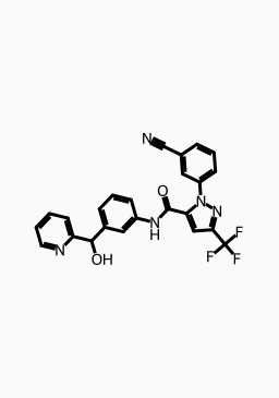 N#Cc1cccc(-n2nc(C(F)(F)F)cc2C(=O)Nc2cccc(C(O)c3ccccn3)c2)c1